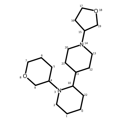 [CH]1CCN(C2CCCOC2)C(C2CCN(C3CCOC3)CC2)C1